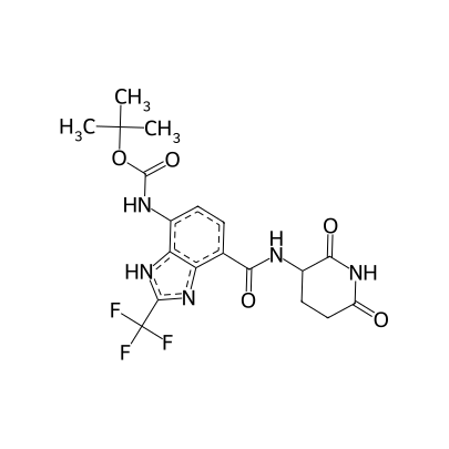 CC(C)(C)OC(=O)Nc1ccc(C(=O)NC2CCC(=O)NC2=O)c2nc(C(F)(F)F)[nH]c12